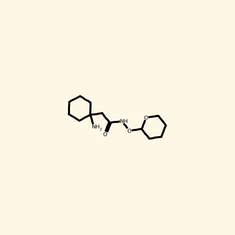 NC1(CC(=O)NOC2CCCCO2)CCCCC1